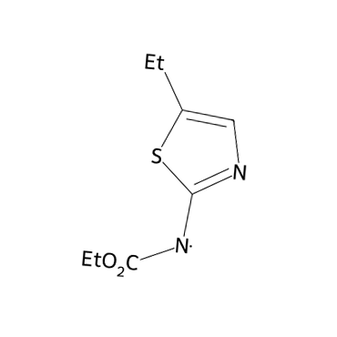 CCOC(=O)[N]c1ncc(CC)s1